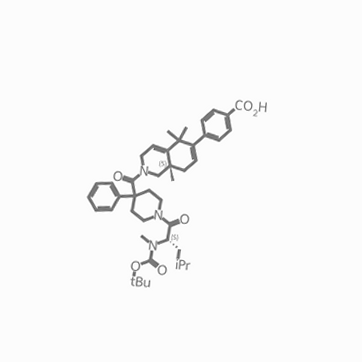 CC(C)C[C@@H](C(=O)N1CCC(C(=O)N2CC=C3C(C)(C)C(c4ccc(C(=O)O)cc4)=CC[C@]3(C)C2)(c2ccccc2)CC1)N(C)C(=O)OC(C)(C)C